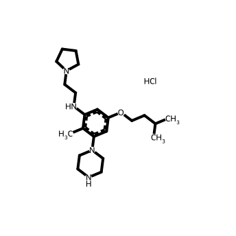 Cc1c(NCCN2CCCC2)cc(OCCC(C)C)cc1N1CCNCC1.Cl